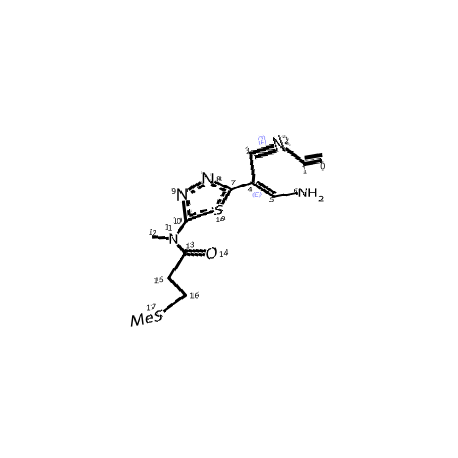 C=C/N=C\C(=C/N)c1nnc(N(C)C(=O)CCSC)s1